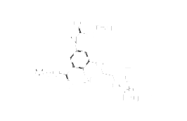 COC(=O)c1cc(NC(=O)OC(C)(C)C)cc(OCCO[Si](C)(C)C(C)(C)C)c1Br